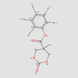 CC1(C(=O)Oc2c(F)c(F)c(F)c(I)c2F)COC(=O)OC1